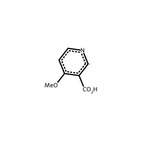 COc1ccn[c]c1C(=O)O